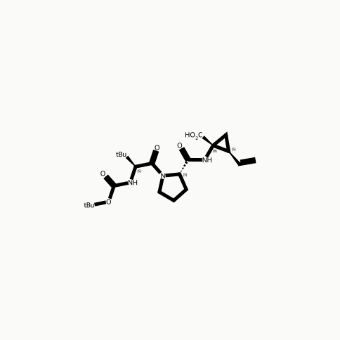 C=C[C@@H]1C[C@]1(NC(=O)[C@@H]1CCCN1C(=O)[C@@H](NC(=O)OC(C)(C)C)C(C)(C)C)C(=O)O